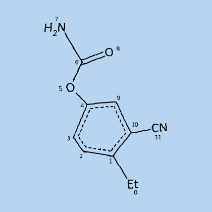 CCc1ccc(OC(N)=O)cc1C#N